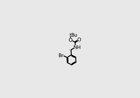 CC(C)(C)OC(=O)N[CH]c1ccccc1Br